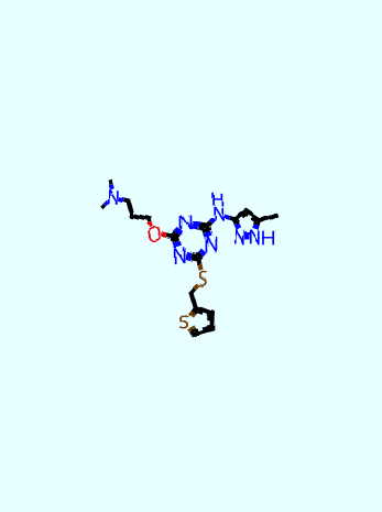 Cc1cc(Nc2nc(OCCCN(C)C)nc(SCc3cccs3)n2)n[nH]1